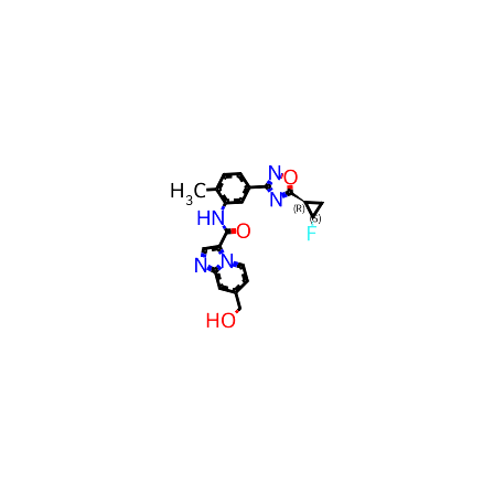 Cc1ccc(-c2noc([C@H]3C[C@@H]3F)n2)cc1NC(=O)c1cnc2cc(CO)ccn12